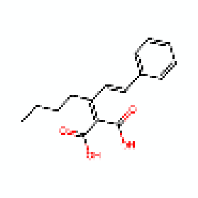 CCCCC(C=Cc1ccccc1)=C(C(=O)O)C(=O)O